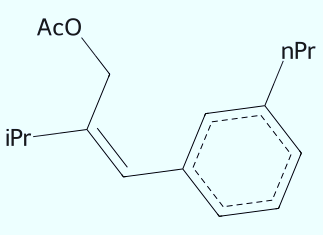 CCCc1cccc(C=C(COC(C)=O)C(C)C)c1